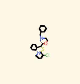 Clc1cccnc1S[C@@H](c1ccccc1)[C@@H]1CN(Cc2ccccc2)CCO1